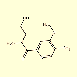 Bc1cnc(C(=O)N(C)CCO)cc1OC